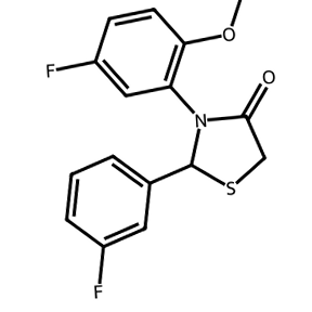 COc1ccc(F)cc1N1C(=O)CSC1c1cccc(F)c1